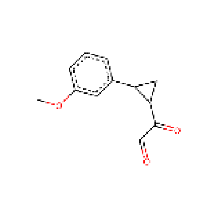 COc1cccc(C2CC2C(=O)C=O)c1